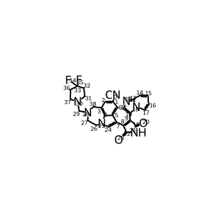 N#Cc1cc2c3c(c1)c(C1=C(c4cnc5ccccn45)C(=O)NC1=O)cn3CCN(CN1CCC(F)(F)CC1)C2